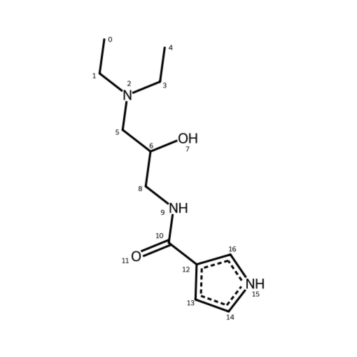 CCN(CC)CC(O)CNC(=O)c1cc[nH]c1